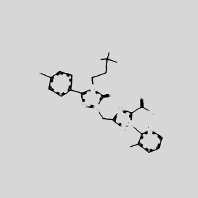 Cc1cccnc1-n1nc(Cn2nc(-c3ccc(Cl)cc3)n(CCC(F)(F)F)c2=O)nc1C(N)=O